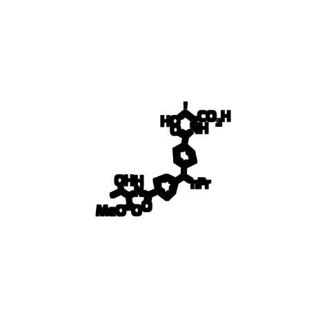 CCCC(c1ccc(C(=O)NC(C(=O)OC)C(C)O)cc1)c1ccc(C(=O)N[C@H](C(=O)O)[C@@H](C)O)cc1